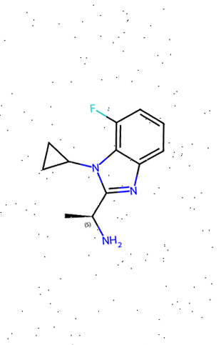 C[C@H](N)c1nc2cccc(F)c2n1C1CC1